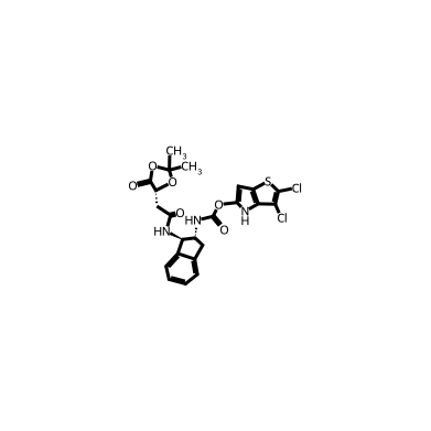 CC1(C)OC(=O)[C@@H](CC(=O)N[C@@H]2c3ccccc3C[C@H]2NC(=O)Oc2cc3sc(Cl)c(Cl)c3[nH]2)O1